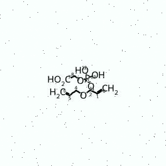 C=CCOCC=C.O=C(O)COP(=O)(O)O